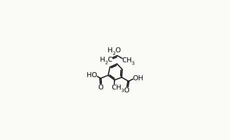 C=CC.Cc1c(C(=O)O)cccc1C(=O)O.O